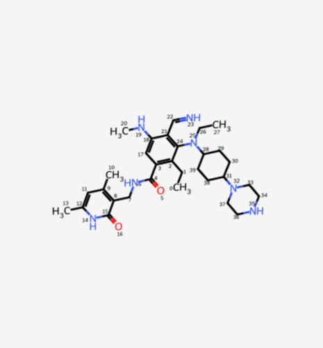 CCc1c(C(=O)NCc2c(C)cc(C)[nH]c2=O)cc(NC)c(C=N)c1N(CC)C1CCC(N2CCNCC2)CC1